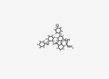 NC(=O)c1cccc2c1c1c(O)cc(-c3ccc(Cl)cc3)cc1n2Cc1ccccc1Oc1ccccc1